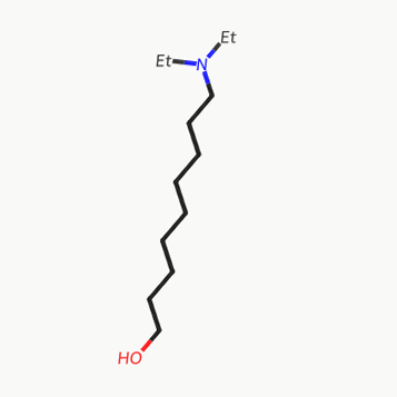 CCN(CC)CCCCCCCCCO